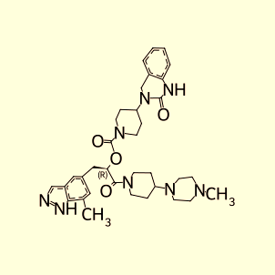 Cc1cc(C[C@@H](OC(=O)N2CCC(N3Cc4ccccc4NC3=O)CC2)C(=O)N2CCC(N3CCN(C)CC3)CC2)cc2cn[nH]c12